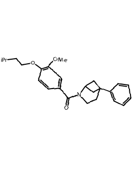 COc1cc(C(=O)N2CCC3(c4ccccc4)CC2C3)ccc1OCCC(C)C